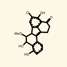 COC1C(O)c2c(O)cccc2C2=C3CCC(=O)c4c(O)c(Cl)cc(c43)C21